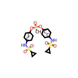 CP(=O)(OC12CCC(NS(=O)(=O)C3CC3)(CC1)CC2)OC12CCC(NS(=O)(=O)C3CC3)(CC1)CC2